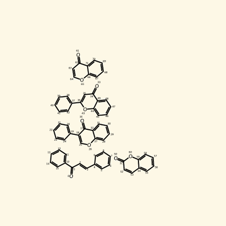 O=C(C=Cc1ccccc1)c1ccccc1.O=c1c(-c2ccccc2)coc2ccccc12.O=c1cc(-c2ccccc2)oc2ccccc12.O=c1ccc2ccccc2o1.O=c1ccoc2ccccc12